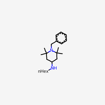 CCCCCCNC1CC(C)(C)N(Cc2ccccc2)C(C)(C)C1